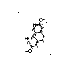 COC(=O)C=C1CCc2cc(OC)ncc2C1O